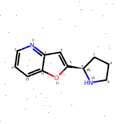 c1cnc2cc([C@H]3CCCN3)oc2c1